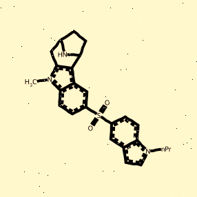 CCCn1ccc2cc(S(=O)(=O)c3ccc4c(c3)c3c(n4C)CC4CCC3N4)ccc21